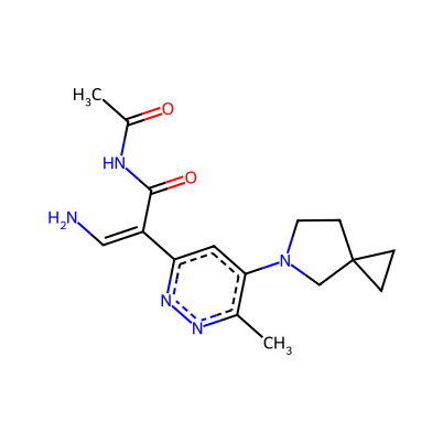 CC(=O)NC(=O)/C(=C\N)c1cc(N2CCC3(CC3)C2)c(C)nn1